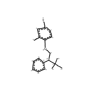 Cc1cc(F)ccc1OCC(c1ccccc1)C(C)(C)C